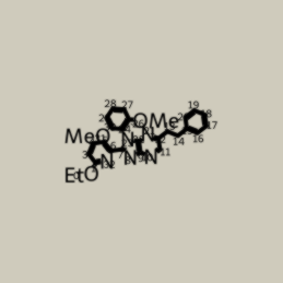 CCOc1cccc(-c2nc3ncc(CCc4ccccc4)nc3n2-c2c(OC)cccc2OC)n1